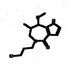 COC1c2[nH]ccc2C(=O)N(CCCCl)CC1C